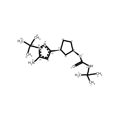 CC(C)(C)NC(=O)O[C@@H]1CC[C@H](c2cc(N)n(C(C)(C)C)n2)C1